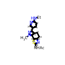 CCNc1ccc(-c2nn(C)c3c2CCc2nc(NC(C)=O)sc2-3)cn1